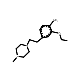 CCOc1cc(CCN2CCN(C)CC2)ccc1N